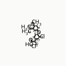 COc1ccc(Oc2ccc(C(CCl)C(=O)O)cc2Cl)cc1C(C)C